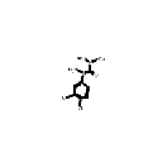 CCCCN(CCCC)C(=O)N(N)c1ccc(Cl)c(Cl)c1